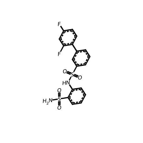 NS(=O)(=O)c1ccccc1NS(=O)(=O)c1cccc(-c2ccc(F)cc2F)c1